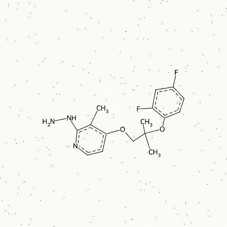 Cc1c(OCC(C)(C)Oc2ccc(F)cc2F)ccnc1NN